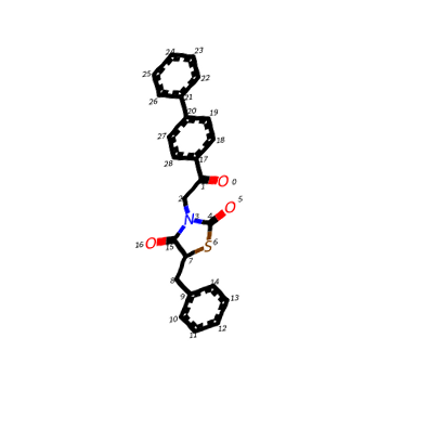 O=C(CN1C(=O)SC(Cc2ccccc2)C1=O)c1ccc(-c2ccccc2)cc1